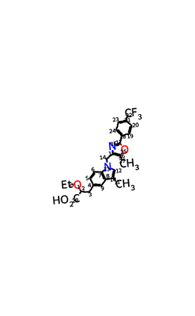 CCOC(Cc1ccc2c(c1)c(C)cn2Cc1nc(-c2ccc(C(F)(F)F)cc2)oc1C)C(=O)O